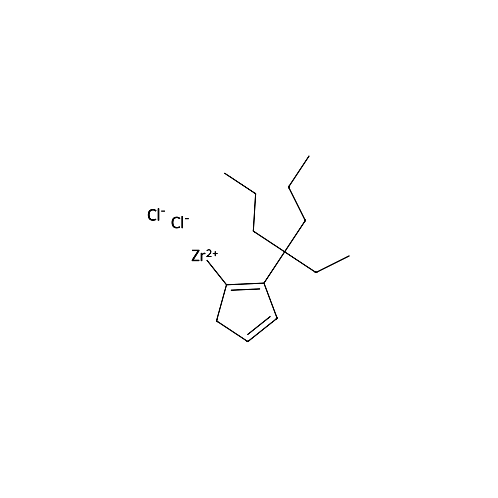 CCCC(CC)(CCC)C1=[C]([Zr+2])CC=C1.[Cl-].[Cl-]